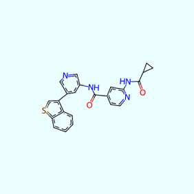 O=C(Nc1cncc(-c2csc3ccccc23)c1)c1ccnc(NC(=O)C2CC2)c1